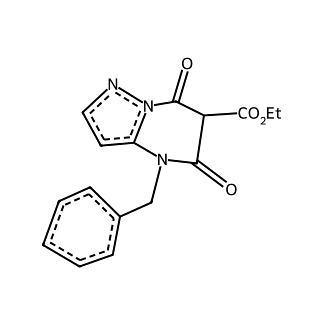 CCOC(=O)C1C(=O)N(Cc2ccccc2)c2ccnn2C1=O